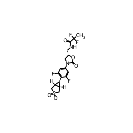 CC(F)(F)C(=O)NC[C@H]1CN(c2cc(F)c([C@H]3[C@@H]4CS(=O)(=O)C[C@@H]43)c(F)c2)C(=O)O1